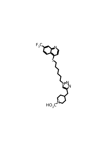 O=C(O)N1CCC(Cc2cn(CCCCCCSc3ccnc4cc(C(F)(F)F)ccc34)nn2)CC1